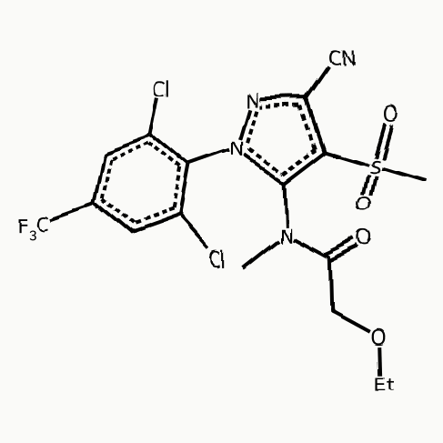 CCOCC(=O)N(C)c1c(S(C)(=O)=O)c(C#N)nn1-c1c(Cl)cc(C(F)(F)F)cc1Cl